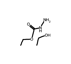 CCO.CCOC(=O)NN